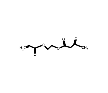 C=CC(=O)OCCOC(=O)CC(C)=O